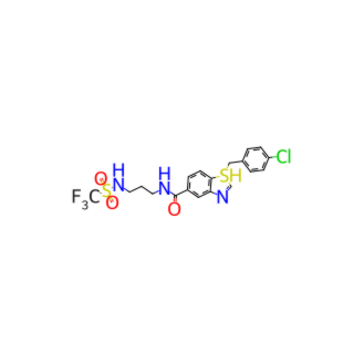 O=C(NCCCNS(=O)(=O)C(F)(F)F)c1ccc2c(c1)N=C[SH]2Cc1ccc(Cl)cc1